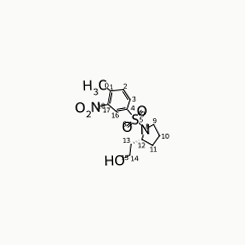 Cc1ccc(S(=O)(=O)N2CCC[C@@H]2CCO)cc1[N+](=O)[O-]